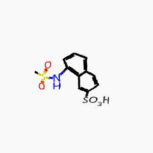 CS(=O)(=O)Nc1cccc2ccc(S(=O)(=O)O)cc12